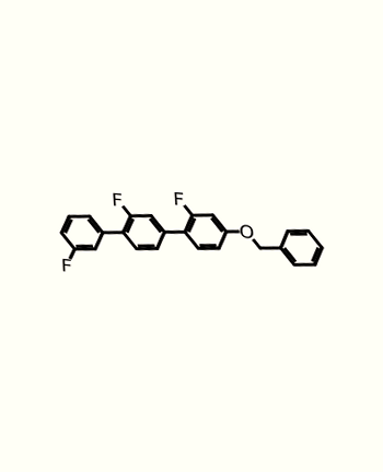 Fc1cccc(-c2ccc(-c3ccc(OCc4ccccc4)cc3F)cc2F)c1